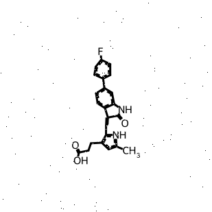 Cc1cc(CCC(=O)O)c(C=C2C(=O)Nc3cc(-c4ccc(F)cc4)ccc32)[nH]1